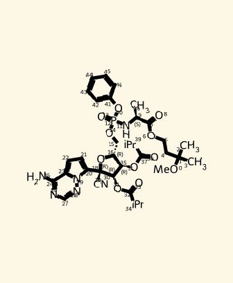 COC(C)(C)CCOC(=O)[C@H](C)NP(=O)(OC[C@H]1O[C@@](C#N)(c2ccc3c(N)ncnn23)[C@H](OC(=O)C(C)C)[C@@H]1OC(=O)C(C)C)Oc1ccccc1